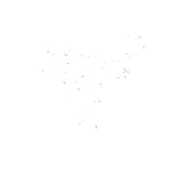 C=C/C(=C\N(N)C1CCNCC1)c1ccc2c(c1Oc1ccnc(C(F)(F)F)n1)CC[C@H](C)N2C(C)=O